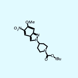 COc1cc2nn(C3CCN(C(=O)OC(C)(C)C)CC3)cc2cc1[N+](=O)[O-]